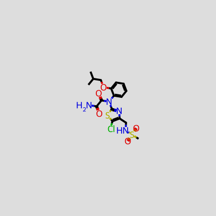 CC(C)COc1ccccc1N(C(=O)C(N)=O)c1nc(CNS(C)(=O)=O)c(Cl)s1